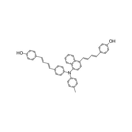 Cc1ccc(N(c2ccc(C=CC=Cc3ccc(O)cc3)cc2)c2ccc(C=CC=Cc3ccc(O)cc3)c3ccccc23)cc1